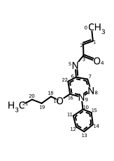 C/C=C/C(=O)N=c1cnn(-c2ccccc2)c(OCCCC)c1